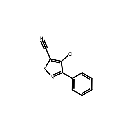 N#Cc1snc(-c2ccccc2)c1Cl